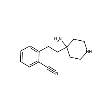 N#Cc1ccccc1CCC1(N)CCNCC1